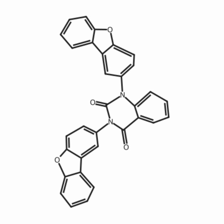 O=c1c2ccccc2n(-c2ccc3oc4ccccc4c3c2)c(=O)n1-c1ccc2oc3ccccc3c2c1